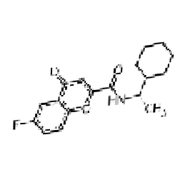 C[C@H](NC(=O)c1cc(=O)c2cc(F)ccc2o1)C1CCCCC1